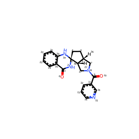 O=C1N[C@]2(CC[C@@H]3CN(C(=O)c4cccnc4)C[C@@H]32)Nc2ccccc21